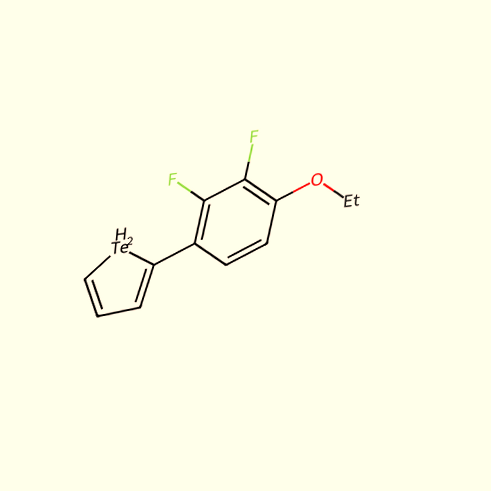 CCOc1ccc(C2=CC=C[TeH2]2)c(F)c1F